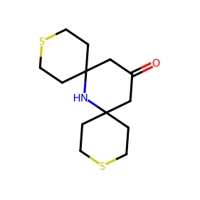 O=C1CC2(CCSCC2)NC2(CCSCC2)C1